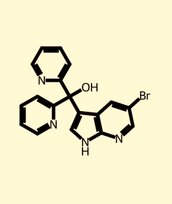 OC(c1ccccn1)(c1ccccn1)c1c[nH]c2ncc(Br)cc12